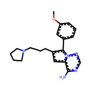 COc1cccc(-c2c(CCCN3CCCC3)cc3c(N)ncnn23)c1